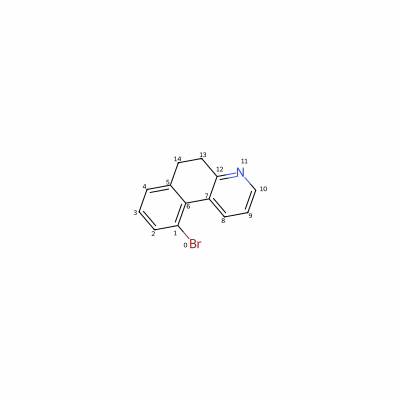 Brc1cccc2c1-c1cccnc1CC2